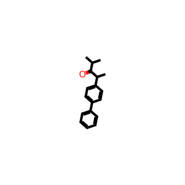 CC(C)C(=O)C(C)c1ccc(-c2ccccc2)cc1